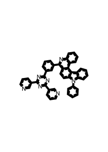 c1ccc(-n2c3ccccc3c3c4c(ccc32)c(-c2cccc(-c3nc(-c5cccnc5)nc(-c5cccnc5)n3)c2)nc2ccccc24)cc1